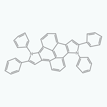 c1ccc(-c2cc3c4cccc5c4c4c(cccc4c3n2-c2ccccc2)c2cc(-c3ccccc3)n(-c3ccccc3)c25)cc1